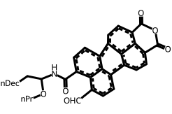 CCCCCCCCCCCC(NC(=O)c1ccc2c3ccc4c5c(ccc(c6ccc(C=O)c1c62)c53)C(=O)OC4=O)OCCC